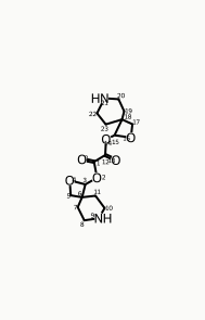 O=C(OC1OCC12CCNCC2)C(=O)OC1OCC12CCNCC2